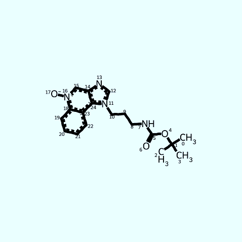 CC(C)(C)OC(=O)NCCCn1cnc2c[n+]([O-])c3ccccc3c21